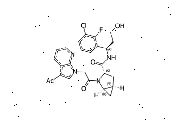 CC(=O)c1cn(CC(=O)N2[C@@H]3C[C@@H]3C[C@H]2C(=O)N[C@H](CCO)c2cccc(Cl)c2F)c2ncccc12